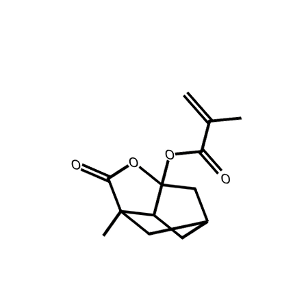 C=C(C)C(=O)OC12CC3CC1C(C)(C3)C(=O)O2